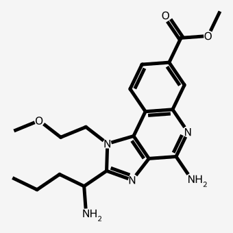 CCCC(N)c1nc2c(N)nc3cc(C(=O)OC)ccc3c2n1CCOC